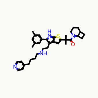 Cc1cc(C)cc(-c2[nH]c3sc(C(C)(C)C(=O)N4CCCC5CCC54)cc3c2CCNCCCCc2ccncc2)c1